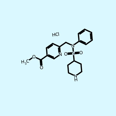 COC(=O)c1ccc(CN(c2ccccc2)S(=O)(=O)C2CCNCC2)nc1.Cl